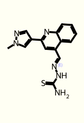 Cn1cc(-c2cc(/C=N/NC(N)=S)c3ccccc3n2)cn1